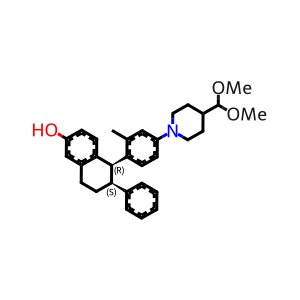 COC(OC)C1CCN(c2ccc([C@@H]3c4ccc(O)cc4CC[C@@H]3c3ccccc3)c(C)c2)CC1